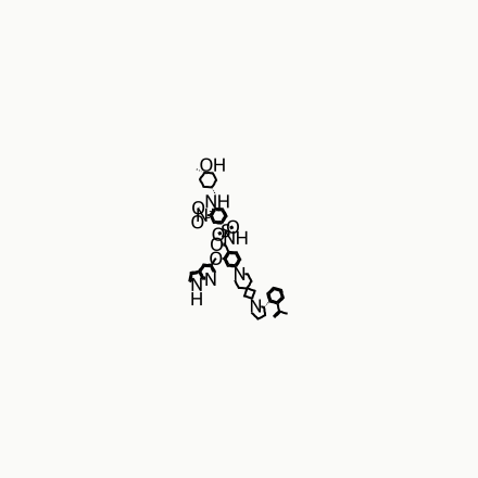 C=C(C)c1ccccc1[C@@H]1CCCN1C1CC2(CCN(c3ccc(C(=O)NS(=O)(=O)c4ccc(NC[C@H]5CC[C@](C)(O)CC5)c([N+](=O)[O-])c4)c(Oc4cnc5[nH]ccc5c4)c3)CC2)C1